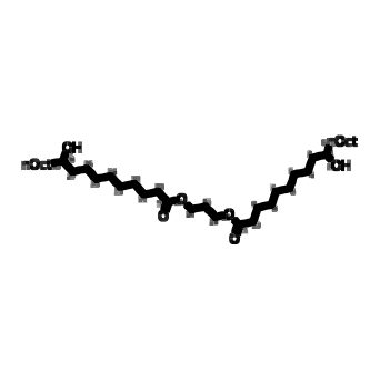 CCCCCCCCC(O)CCCCCCCCC(=O)OCCCOC(=O)CCCCCCCCC(O)CCCCCCCC